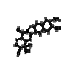 CC[C@@]1(O)C(=O)OCc2c1cc1n(c2=O)Cc2cc3cc(N)c(O)cc3nc2-1